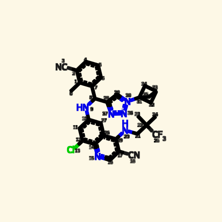 Cc1c(C#N)cccc1C(Nc1cc(Cl)c2ncc(C#N)c(NCC(C)(C)C(F)(F)F)c2c1)c1cn(C23CC(C2)C3)nn1